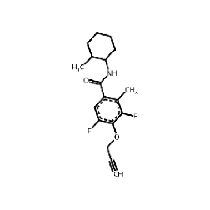 C#CCOc1c(F)cc(C(=O)NC2CCCCC2C)c(C)c1F